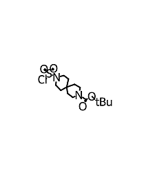 CC(C)(C)OC(=O)N1CCC2(CC1)CCN(S(=O)(=O)Cl)CC2